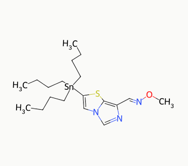 CCC[CH2][Sn]([CH2]CCC)([CH2]CCC)[c]1cn2cnc(/C=N/OC)c2s1